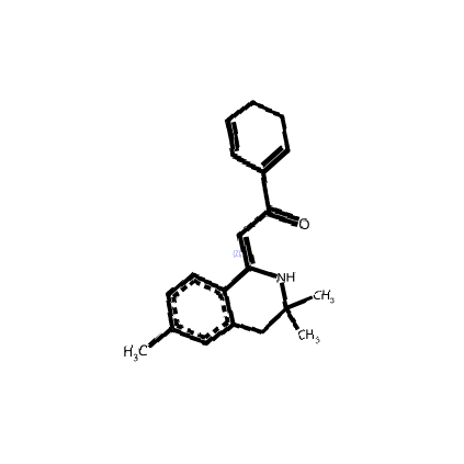 Cc1ccc2c(c1)CC(C)(C)N/C2=C\C(=O)C1=CCCC=C1